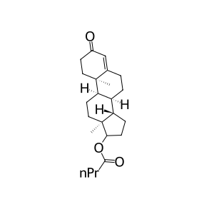 CCCC(=O)OC1CC[C@H]2[C@@H]3CCC4=CC(=O)CC[C@]4(C)[C@@H]3CC[C@]12C